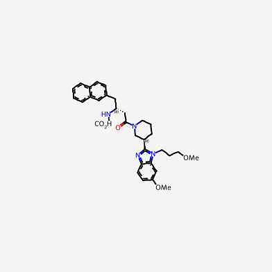 COCCCn1c([C@@H]2CCCN(C(=O)C[C@@H](Cc3ccc4ccccc4c3)NC(=O)O)C2)nc2ccc(OC)cc21